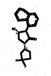 N#C[C@H]1CN([C@@H]2CCC(F)(F)C2)C(=O)N1c1cncc2ccccc12